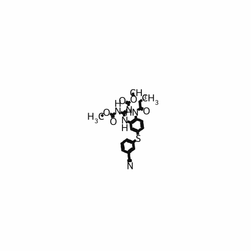 CCC(=O)Nc1ccc(Sc2cccc(C#N)c2)cc1NC(=NC(=O)OC)NC(=O)OC